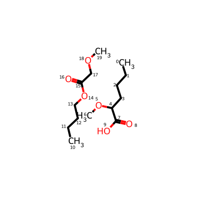 CCCCC(OC)C(=O)O.CCCCOC(=O)COC